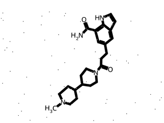 CN1CCC(C2CCN(C(=O)[CH]Cc3cc(C(N)=O)c4[nH]ccc4c3)CC2)CC1